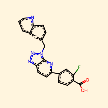 O=C(O)c1ccc(-c2ccc3nnn(Cc4ccc5ncccc5c4)c3n2)cc1F